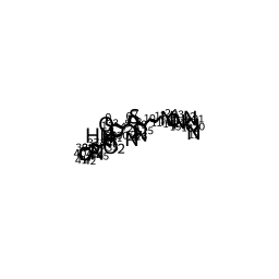 COc1cc(-c2csc3c(C=CCN4CCN(c5cnccn5)CC4)cnc(N)c23)ccc1NC(=O)c1cc2ccccc2n1C